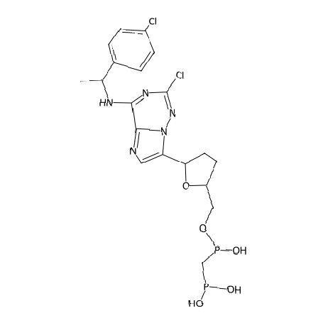 CC(Nc1nc(Cl)nn2c(C3CCC(COP(O)CP(O)O)O3)cnc12)c1ccc(Cl)cc1